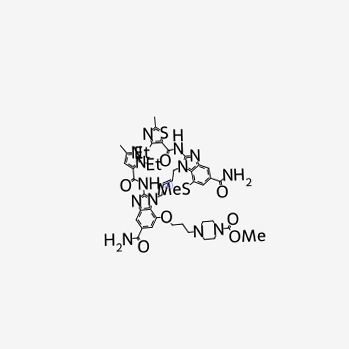 CCc1nc(C)sc1C(=O)Nc1nc2cc(C(N)=O)cc(SC)c2n1C/C=C/Cn1c(NC(=O)c2cc(C)nn2CC)nc2cc(C(N)=O)cc(OCCCN3CCN(C(=O)OC)CC3)c21